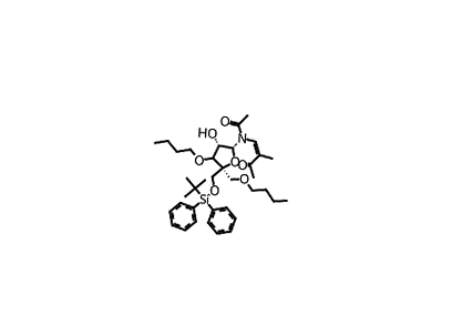 CCCCOC[C@@]1(CO[Si](c2ccccc2)(c2ccccc2)C(C)(C)C)O[C@@H](N(/C=C(/C)C(C)=O)C(C)=O)[C@@H](O)C1OCCCC